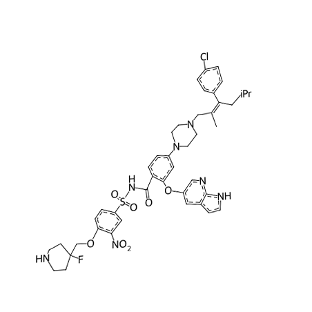 C/C(CN1CCN(c2ccc(C(=O)NS(=O)(=O)c3ccc(OCC4(F)CCNCC4)c([N+](=O)[O-])c3)c(Oc3cnc4[nH]ccc4c3)c2)CC1)=C(\CC(C)C)c1ccc(Cl)cc1